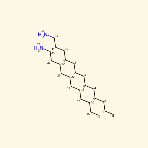 CCCCCCCCCCCCCN.CCCCCCCCCCCN